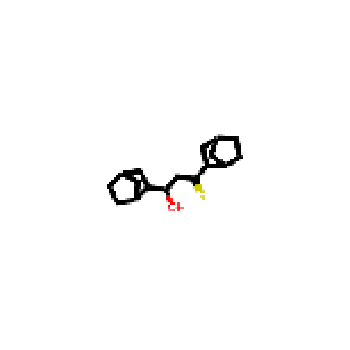 OC(CC(=S)C1CC2CCC1C2)C1CC2CCC1C2